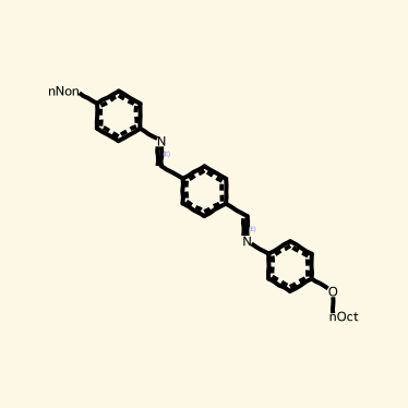 CCCCCCCCCc1ccc(/N=C/c2ccc(/C=N/c3ccc(OCCCCCCCC)cc3)cc2)cc1